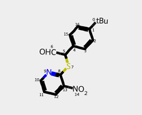 CC(C)(C)c1ccc(C(C=O)Sc2ncccc2[N+](=O)[O-])cc1